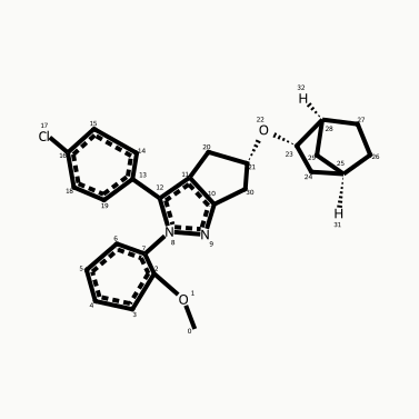 COc1ccccc1-n1nc2c(c1-c1ccc(Cl)cc1)C[C@H](O[C@H]1C[C@@H]3CC[C@H]1C3)C2